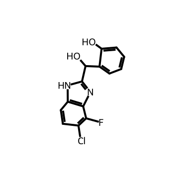 Oc1ccccc1C(O)c1nc2c(F)c(Cl)ccc2[nH]1